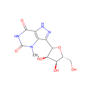 Cn1c(=O)[nH]c(=O)c2[nH]nc(C3O[C@H](CO)[C@@H](O)[C@H]3O)c21